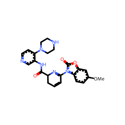 COc1ccc2c(c1)oc(=O)n2C1=NC(C(=O)Nc2cnccc2N2CCNCC2)CC=C1